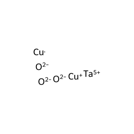 [Cu+].[Cu].[O-2].[O-2].[O-2].[Ta+5]